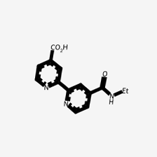 CCNC(=O)c1ccnc(-c2cc(C(=O)O)ccn2)c1